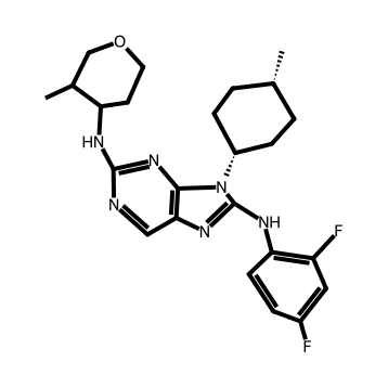 CC1COCCC1Nc1ncc2nc(Nc3ccc(F)cc3F)n([C@H]3CC[C@@H](C)CC3)c2n1